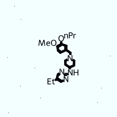 CCCOc1cc(CN2CCC(Nc3ncc(CC)cn3)CC2)ccc1OC